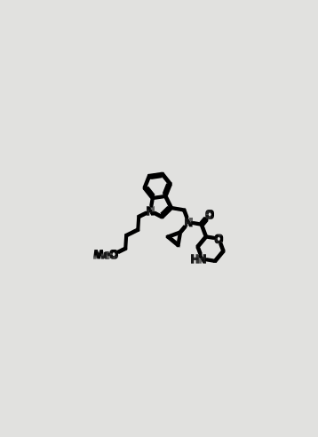 COCCCCn1cc(CN(C(=O)C2CNCCO2)C2CC2)c2ccccc21